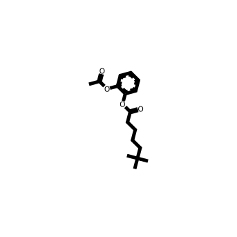 CC(=O)Oc1ccccc1OC(=O)CCCCC(C)(C)C